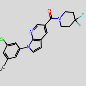 O=C(O)c1cc(Cl)cc(-n2ccc3cc(C(=O)N4CCC(F)(F)CC4)cnc32)c1